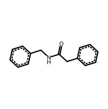 O=C(Cc1c[c]ccc1)NCc1ccccc1